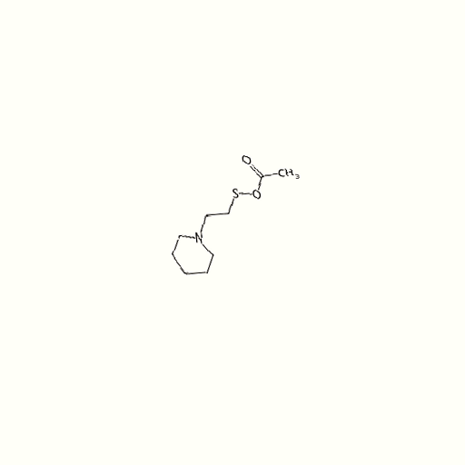 CC(=O)OSCCN1CCCCC1